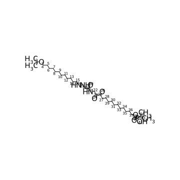 CC(C)OCCCCCCCCCCCCNNCC(=O)NCC(=O)C(=O)CCCCCCCCCCCOP(=O)(O)C(C)C